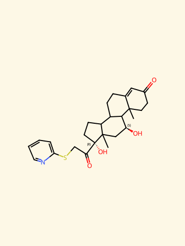 CC12CCC(=O)C=C1CCC1C2[C@@H](O)CC2(C)C1CC[C@]2(O)C(=O)CSc1ccccn1